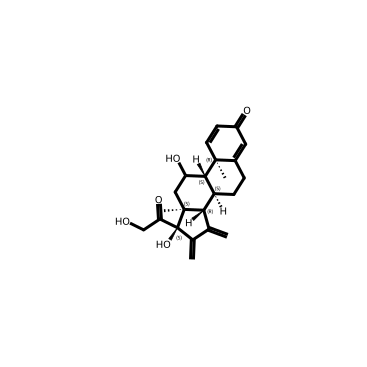 C=C1C(=C)[C@](O)(C(=O)CO)[C@@]2(C)CC(O)[C@H]3[C@@H](CCC4=CC(=O)C=C[C@@]43C)[C@H]12